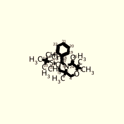 CC1(C)OCC(C)(CO[Si](C)(C)C(C)(C)C)N(Cc2ccccc2)C1=O